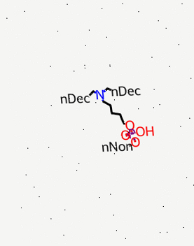 CCCCCCCCCCCN(CCCCCCCCCCC)CCCCCOP(=O)(O)OCCCCCCCCC